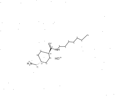 CCCCCCCNC(=O)[C@H]1CC[C@H](CN)CC1.Cl